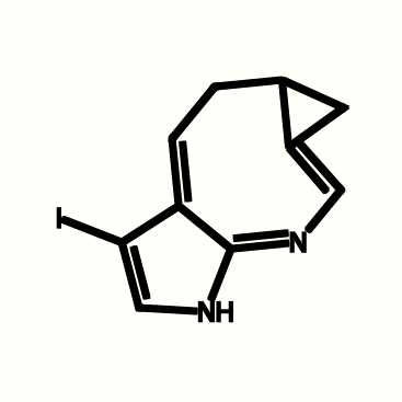 Ic1c[nH]c2/c1=C\CC1C/C1=C\N=2